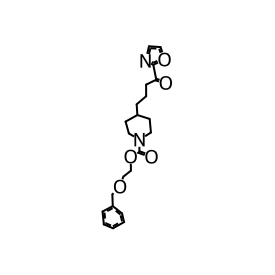 O=C(CCCC1CCN(C(=O)OCCOCc2ccccc2)CC1)c1ncco1